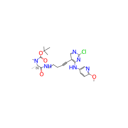 COc1ccc(Nc2nc(Cl)ncc2C#CCCCNC(=O)[C@H](C)N(C)C(=O)OC(C)(C)C)cn1